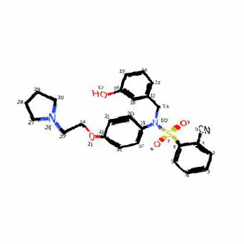 N#Cc1ccccc1S(=O)(=O)N(Cc1cccc(O)c1)c1ccc(OCCN2CCCC2)cc1